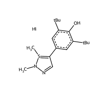 CN1N=CC(c2cc(C(C)(C)C)c(O)c(C(C)(C)C)c2)=S1C.I